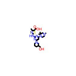 Cc1nc(Nc2nc(N3CCCC(CO)C3)cc(N3CCN(C)CC3(C)C)n2)sc1C(=O)O